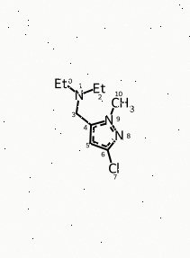 CCN(CC)Cc1cc(Cl)nn1C